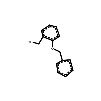 OCc1c[c]ccc1OCc1ccccc1